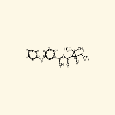 CC1(C)C(C(=O)OC(C#N)c2cccc(Oc3ccccc3)c2)C1(Cl)CC(F)(F)F